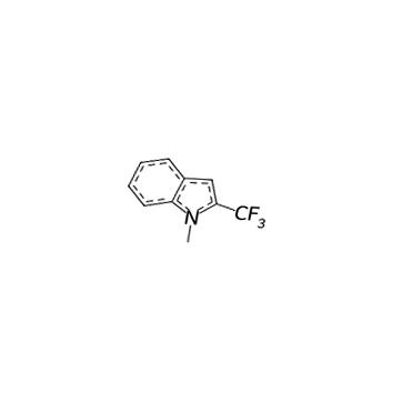 Cn1c(C(F)(F)F)cc2ccccc21